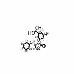 CC(O)c1cc(F)cc(N2C(=O)OC[C@@H]2Cc2ccccc2)c1